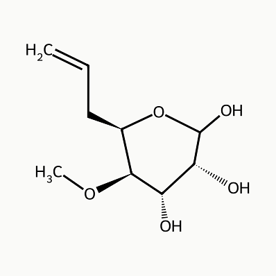 C=CC[C@H]1OC(O)[C@H](O)[C@H](O)[C@H]1OC